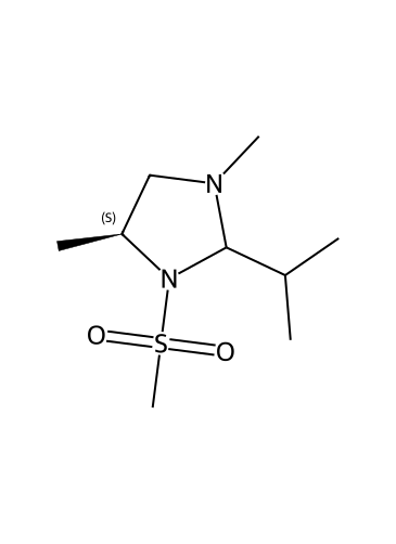 CC(C)C1N(C)C[C@H](C)N1S(C)(=O)=O